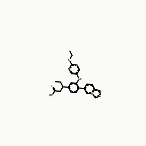 CCOc1ncc(Nc2cc(C(CC)CC(=O)O)ccc2-c2ccc3cncn3c2)cn1